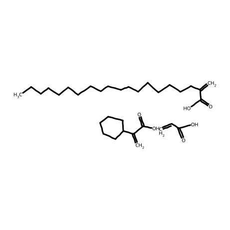 C=C(C(=O)O)C1CCCCC1.C=C(CCCCCCCCCCCCCCCCCC)C(=O)O.C=CC(=O)O